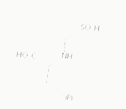 CC(C)CC(NCS(=O)(=O)O)C(=O)O